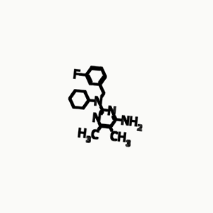 Cc1nc(N(Cc2cccc(F)c2)C2CCCCC2)nc(N)c1C